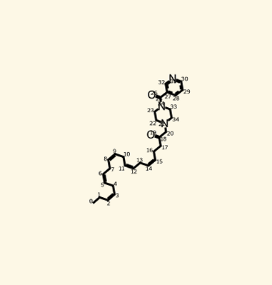 CC/C=C\C/C=C\C/C=C\C/C=C\C/C=C\CCC(=O)CN1CCN(C(=O)c2cccnc2)CC1